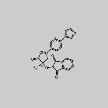 C[C@@](COc1ccc(-n2ccnc2)nc1)(ON1C(=O)c2ccccc2C1=O)C(=O)O